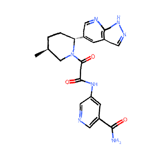 C[C@H]1CC[C@H](c2cnc3[nH]ncc3c2)N(C(=O)C(=O)Nc2cncc(C(N)=O)c2)C1